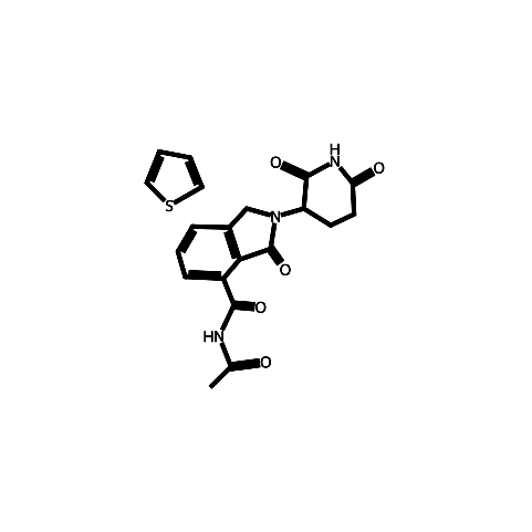 CC(=O)NC(=O)c1cccc2c1C(=O)N(C1CCC(=O)NC1=O)C2.c1ccsc1